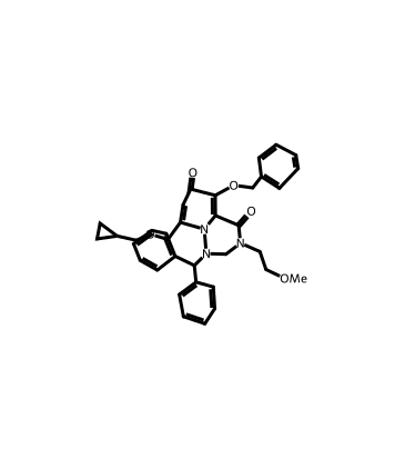 COCCN1CN(C(c2ccccc2)c2ccccc2)n2c(COCC3CC3)cc(=O)c(OCc3ccccc3)c2C1=O